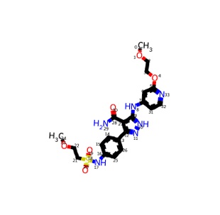 COCCOc1cc(Nc2[nH]nc(-c3ccc(NS(=O)(=O)CCOC)cc3)c2C(N)=O)ccn1